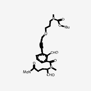 CNC(=O)CCC(C=O)N(C)C(=O)c1cccc(C#CCOCCCN(C)C(=O)OC(C)(C)C)c1C=O